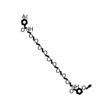 C#CCOc1cccc(C(=O)NCCOCCOCCOCCOCCOCCOCCOCCOCCOCCNC(=O)c2ccc(C(C)=O)cc2)c1